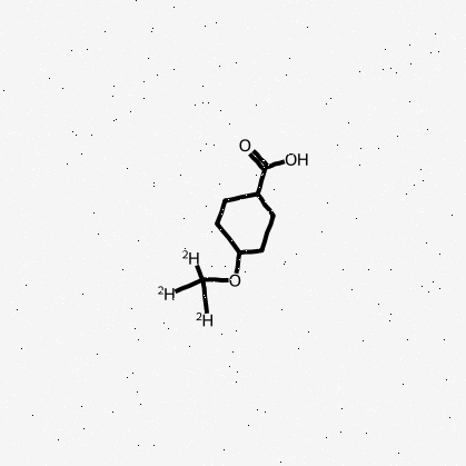 [2H]C([2H])([2H])OC1CCC(C(=O)O)CC1